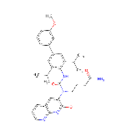 COc1cccc(-c2cc(C(C)C)c(NC(=O)N(CCCC(N)=O)c3cc4cccnc4[nH]c3=O)c(C(C)C)c2)c1